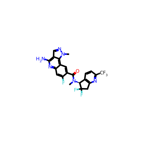 CN(C(=O)c1cc2c(cc1F)nc(N)c1cnn(C)c12)[C@H]1c2ccc(C(F)(F)F)nc2CC1(F)F